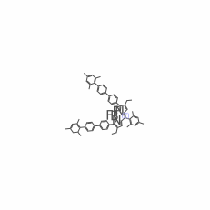 CCC1=C/C(=C(\c2c(C)cc(C)cc2C)c2cc(CC)c(-c3ccc(-c4ccc(C5=C(C)C=C(C)CC5C)cc4)cc3)n2B(F)F)N=C1c1ccc(-c2ccc(-c3c(C)cc(C)cc3C)cc2)cc1